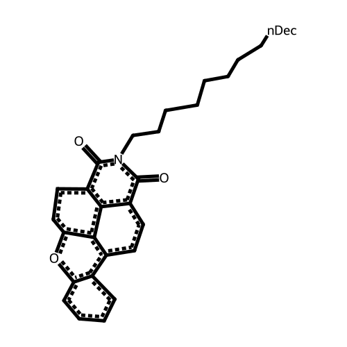 CCCCCCCCCCCCCCCCCCn1c(=O)c2ccc3oc4ccccc4c4ccc(c1=O)c2c34